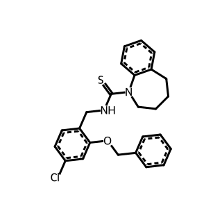 S=C(NCc1ccc(Cl)cc1OCc1ccccc1)N1CCCCc2ccccc21